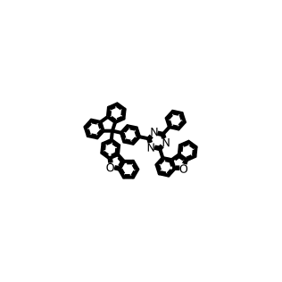 c1ccc(-c2nc(-c3ccc(C4(c5ccc6oc7ccccc7c6c5)c5ccccc5-c5ccccc54)cc3)nc(-c3cccc4oc5ccccc5c34)n2)cc1